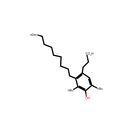 CCCCCCCCCCCCCCCCCCc1c(CCC(=O)O)cc(CCCC)c(O)c1CCCC